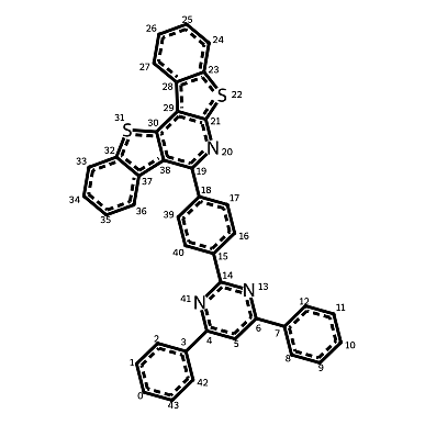 c1ccc(-c2cc(-c3ccccc3)nc(-c3ccc(-c4nc5sc6ccccc6c5c5sc6ccccc6c45)cc3)n2)cc1